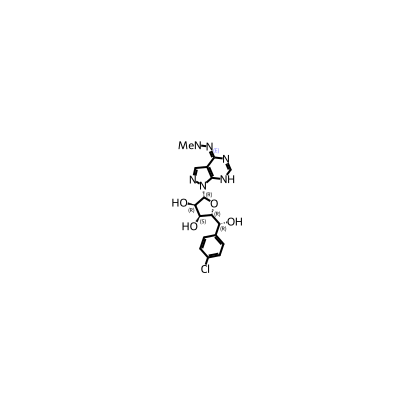 CN/N=c1/nc[nH]c2c1cnn2[C@@H]1O[C@H]([C@H](O)c2ccc(Cl)cc2)[C@@H](O)[C@H]1O